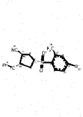 CC(C)O[C@H]1C[C@@H](S(=O)(=O)c2ccc(Br)cc2C(F)(F)F)C[C@@H]1C#N